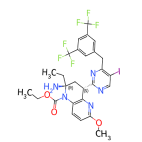 CCOC(=O)N1c2ccc(OC)nc2[C@@H](c2ncc(I)c(Cc3cc(C(F)(F)F)cc(C(F)(F)F)c3)n2)C[C@@]1(N)CC